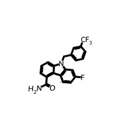 NC(=O)c1cccc2c1c1[c]cc(F)cc1n2Cc1cccc(C(F)(F)F)c1